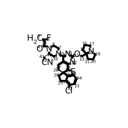 C=C(F)C(=O)N1CCN(c2nc(OCC34CCCN3CCC4)nc3c2CC[C@@]2(CCc4c(Cl)cccc42)C3F)C[C@@H]1CC#N